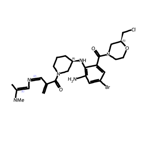 C=C(/C=N\C=C(/C)NC)C(=O)N1CCC[C@@H](Nc2c(N)cc(Br)cc2C(=O)N2CCO[C@H](CCl)C2)C1